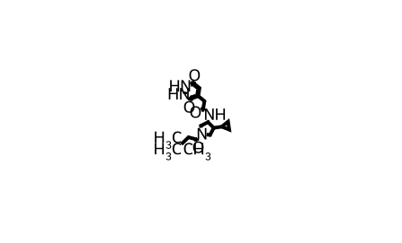 CC(C)(C)CC(=O)N1CC(C2CC2)[C@H](NC(=O)Cc2cc(=O)[nH][nH]c2=O)C1